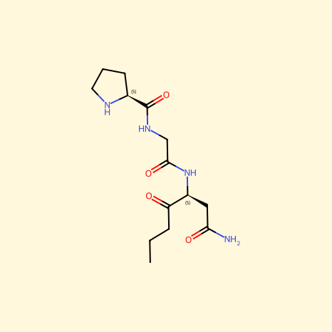 CCCC(=O)[C@H](CC(N)=O)NC(=O)CNC(=O)[C@@H]1CCCN1